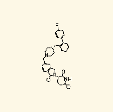 O=C1CCC(N2Cc3cc(CN4CCN(CC5=C(c6ccc(F)cc6)CCCC5)CC4)ccc3C2=O)C(=O)N1